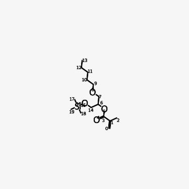 C=C(C)C(=O)OC(COCCCCC)CO[Si](C)(C)C